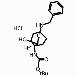 CC(C)(C)OC(=O)NC12CCC(NCc3ccccc3)(CC1)C[C@@H]2O.Cl